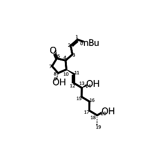 CCCC/C=C\CC1C(=O)C[C@@H](O)[C@@H]1/C=C/[C@@H](O)CCC[C@@H](C)O